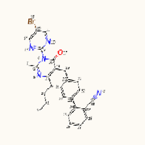 CCCCc1nc(C)n(-c2ncc(Br)cn2)c(=O)c1Cc1ccc(-c2ccccc2C#N)cc1